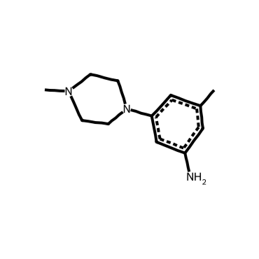 Cc1cc(N)cc(N2CCN(C)CC2)c1